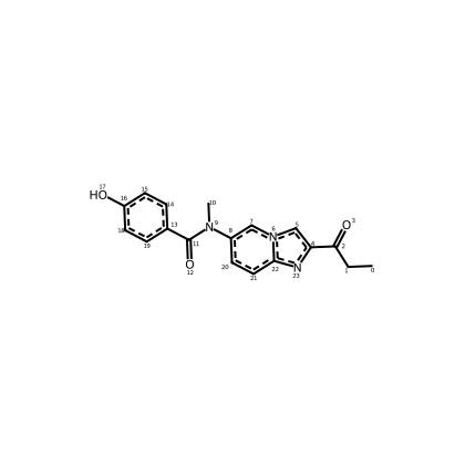 CCC(=O)c1cn2cc(N(C)C(=O)c3ccc(O)cc3)ccc2n1